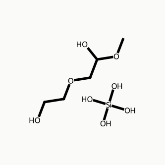 COC(O)COCCO.O[Si](O)(O)O